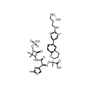 C[n+]1cc(-c2ccc3c(c2)CC[C@H](C(C)(O/N=C(\C(=O)NC2C(=O)N(OS(=O)(=O)O)C2(C)C)c2csc(I)n2)C(=O)O)O3)cnc1NC[C@@H](O)CN